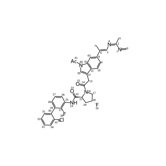 C=N/C(C)=N\C=C(/C)c1ccc2c(CC(=O)N3C[C@H](F)C[C@H]3C(=O)Nc3cccc(-c4ccccc4Cl)c3F)cn(C(C)=O)c2c1